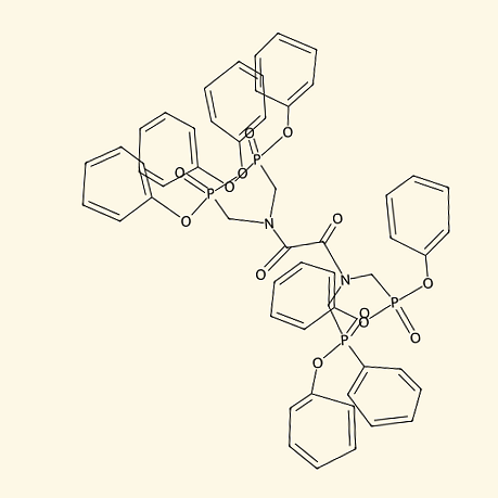 O=C(C(=O)N(CP(=O)(Oc1ccccc1)Oc1ccccc1)CP(=O)(Oc1ccccc1)c1ccccc1)N(CP(=O)(Oc1ccccc1)Oc1ccccc1)CP(=O)(Oc1ccccc1)Oc1ccccc1